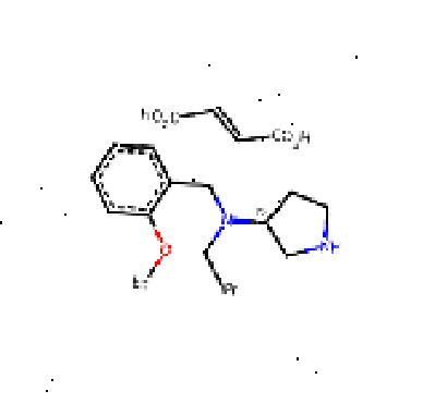 CCOc1ccccc1CN(CC(C)C)[C@H]1CCNC1.O=C(O)C=CC(=O)O